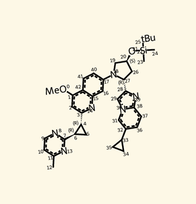 COc1cc([C@@H]2C[C@H]2c2nccc(C)n2)nc2cc(N3C[C@@H](O[Si](C)(C)C(C)(C)C)C[C@@H]3c3cn4cc(C5CC5)ccc4n3)ccc12